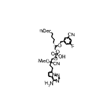 CCCCCCCCCCCCCC[C@@H](COP(=O)(O)OCC(C#N)(CCc1ccc2c(N)ncnn12)OC)OCc1cc(F)cc(C#N)c1